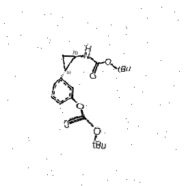 CC(C)(C)OC(=O)N[C@@H]1C[C@H]1c1cccc(OC(=O)OC(C)(C)C)c1